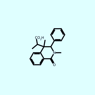 CC(C(=O)O)C1(C)c2ccccc2C(=O)N(C)C1c1ccccc1